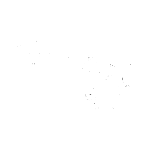 CC[C@H]1OC(=O)[C@H](C)[C@@H](O[C@H]2C[C@@](C)(OC)[C@@H](OC(=O)CCNCCOc3ccc4c(=O)c(C(=O)O)cn(N(C)C)c4c3)[C@H](C)O2)[C@H](C)[C@@H](O[C@@H]2O[C@H](C)C[C@H](N(C)C)[C@H]2O)[C@](C)(OC)C[C@@H](C)C(=O)C(C)[C@@H](O)[C@]1(C)O